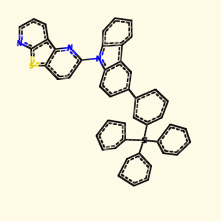 c1ccc([Si](c2ccccc2)(c2ccccc2)c2cccc(-c3ccc4c(c3)c3ccccc3n4-c3ccc4sc5ncccc5c4n3)c2)cc1